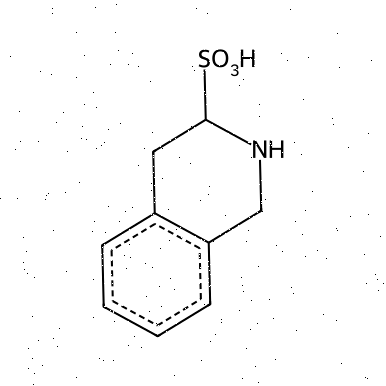 O=S(=O)(O)C1Cc2ccccc2CN1